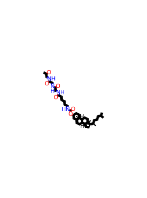 CC(=O)CNC(=O)CNC(=O)CNC(=O)CCCCCNC(=O)OC1CC[C@@]2(C)C(=CC[C@H]3[C@@H]4CC[C@H]([C@H](C)CCCC(C)C)[C@@]4(C)CC[C@@H]32)C1